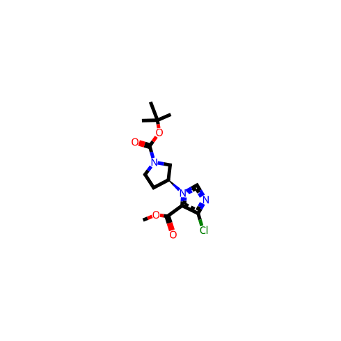 COC(=O)c1c(Cl)ncn1[C@H]1CCN(C(=O)OC(C)(C)C)C1